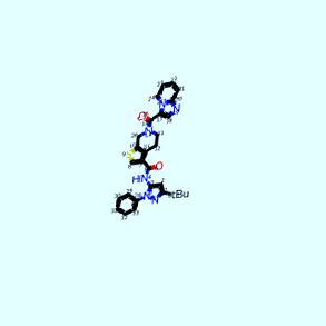 CC(C)(C)c1cc(NC(=O)c2csc3c2CCN(C(=O)c2cnc4ccccn24)C3)n(-c2ccccc2)n1